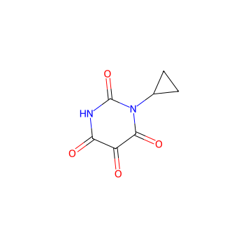 O=C1NC(=O)N(C2CC2)C(=O)C1=O